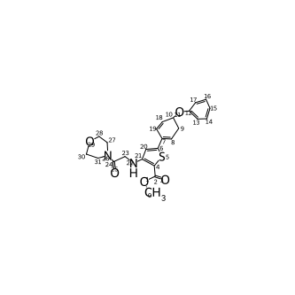 COC(=O)c1sc(C2=CCC(Oc3ccccc3)C=C2)cc1NCC(=O)N1CCOCC1